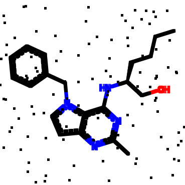 CCCC[C@@H](CO)Nc1nc(C)nc2ccn(Cc3ccccc3)c12